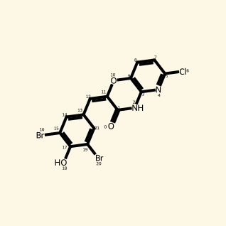 O=C1Nc2nc(Cl)ccc2O/C1=C/c1cc(Br)c(O)c(Br)c1